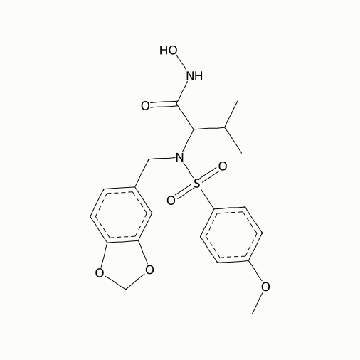 COc1ccc(S(=O)(=O)N(Cc2ccc3c(c2)OCO3)C(C(=O)NO)C(C)C)cc1